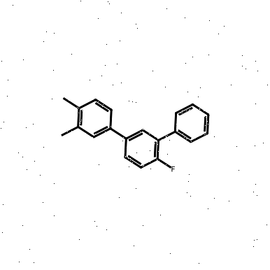 Cc1ccc(-c2ccc(F)c(-c3ccccc3)c2)cc1C